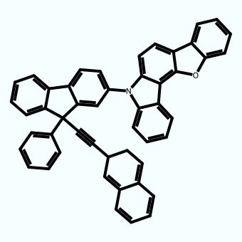 C(#CC1(c2ccccc2)c2ccccc2-c2ccc(-n3c4ccccc4c4c5oc6ccccc6c5ccc43)cc21)C1C=c2ccccc2=CC1